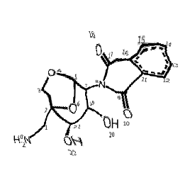 NCC12COC(O1)C(N1C(=O)c3ccccc3C1=O)C(O)[C@H]2O